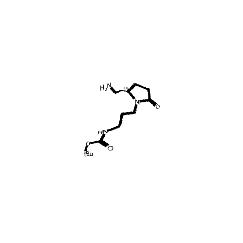 CC(C)(C)OC(=O)NCCCN1C(=O)CC[C@@H]1CN